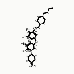 C=CCCC1CCC(COc2cc3oc4cc(C5CCC(CCC)CC5)c(F)c(F)c4c3c(F)c2F)CC1